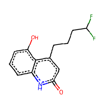 O=c1cc(CCCC(F)F)c2c(O)cccc2[nH]1